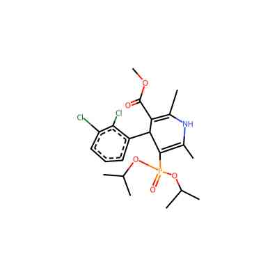 COC(=O)C1=C(C)NC(C)=C(P(=O)(OC(C)C)OC(C)C)C1c1cccc(Cl)c1Cl